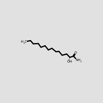 CCCCCCCCCCCC[C@@H](O)C(N)=O